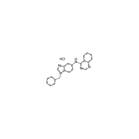 Cl.c1ccc(Cn2cnc3cc(Nc4ncnc5ccccc45)ccc32)cc1